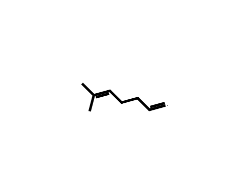 [CH]=CCCC=C(C)C